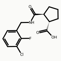 O=C(O)[C@H]1CCC[C@@H]1C(=O)NCc1cccc(Cl)c1F